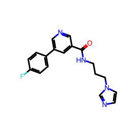 O=C(NCCCn1ccnc1)c1cncc(-c2ccc(F)cc2)c1